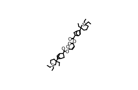 CCC1(C2=CC3CC2CC3C(=O)OC(=O)/C=C\C(=O)OC(=O)C2CC3CC2C=C3C2(CC)CCC[Si](CC)(CC)C2)CCC[Si](CC)(CC)C1